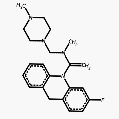 C=C(N(C)CN1CCN(C)CC1)N1c2ccccc2Cc2ccc(F)cc21